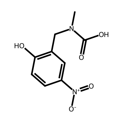 CN(Cc1cc([N+](=O)[O-])ccc1O)C(=O)O